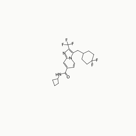 O=C(NC1CCC1)c1ccn2c(CC3CCC(F)(F)CC3)c(C(F)(F)F)nc2c1